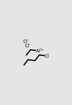 CCCCCl.C[CH2][Al+2].[Cl-].[Cl-]